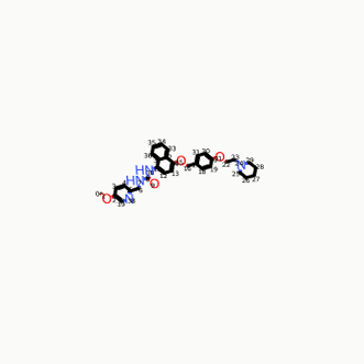 COc1ccc(CNC(=O)Nc2ccc(OCc3ccc(OCCN4CCCCC4)cc3)c3ccccc23)nc1